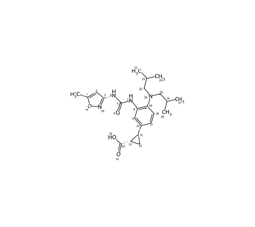 Cc1cc(NC(=O)Nc2cc(C3C[C@@H]3C(=O)O)ccc2N(CC(C)C)CC(C)C)no1